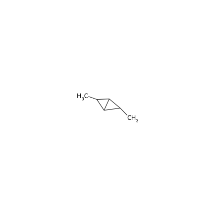 CC1C2C(C)C12